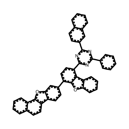 c1ccc(-c2nc(-c3ccc4ccccc4c3)nc(-c3ccc(-c4ccc5c(c4)oc4c6ccccc6ccc54)c4oc5ccccc5c34)n2)cc1